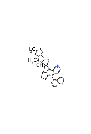 Cc1ccc2c(c1)C(C)(C)c1cc(-c3c4ccccc4c(-c4cccc5ccccc45)c4ccncc34)ccc1-2